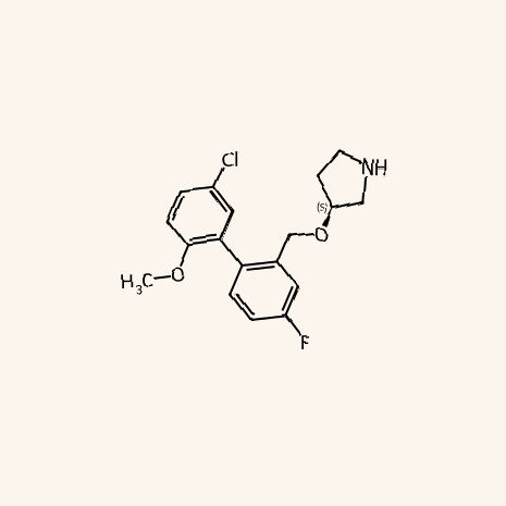 COc1ccc(Cl)cc1-c1ccc(F)cc1CO[C@H]1CCNC1